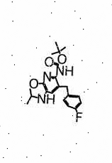 CC1COc2nc(NC(=O)OC(C)(C)C)c(Cc3ccc(F)cc3)cc2N1